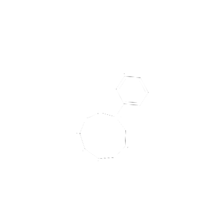 c1ccc(P2CCCCCCPP2)cc1